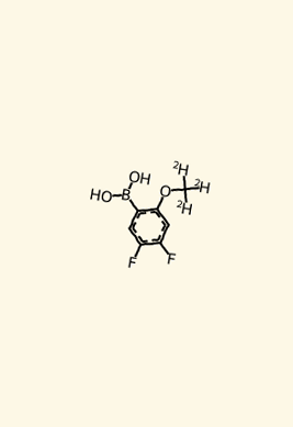 [2H]C([2H])([2H])Oc1cc(F)c(F)cc1B(O)O